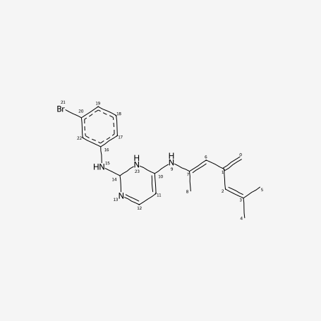 C=C(C=C(C)C)/C=C(\C)NC1=CC=NC(Nc2cccc(Br)c2)N1